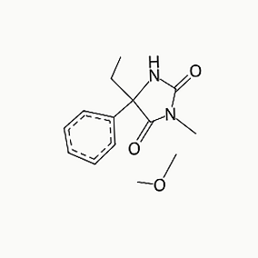 CCC1(c2ccccc2)NC(=O)N(C)C1=O.COC